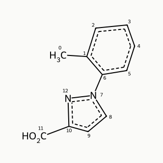 Cc1ccccc1-n1ccc(C(=O)O)n1